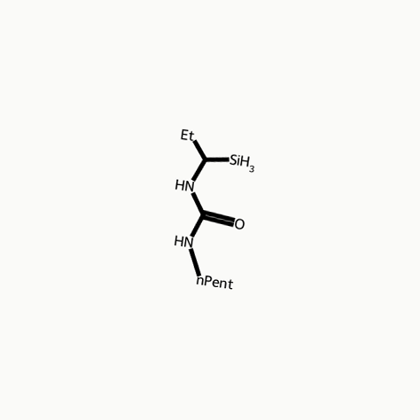 CCCCCNC(=O)NC([SiH3])CC